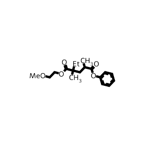 CCC(C)(CC(C)C(=O)Oc1ccccc1)C(=O)OCCOC